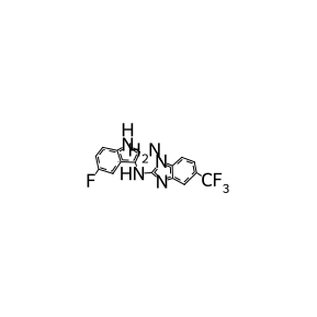 Nn1c(Nc2c[nH]c3ccc(F)cc23)nc2cc(C(F)(F)F)ccc21